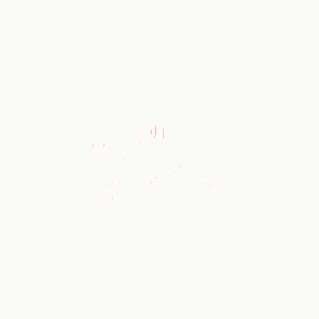 O=S(=O)(O)O[Cl+][O-]